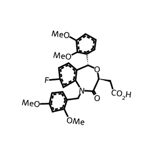 COc1ccc(CN2C(=O)[C@H](CC(=O)O)O[C@@H](c3cccc(OC)c3OC)c3ccc(F)cc32)c(OC)c1